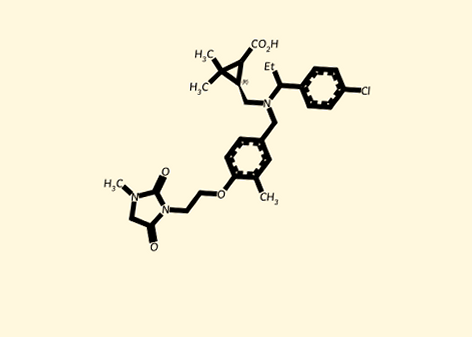 CCC(c1ccc(Cl)cc1)N(Cc1ccc(OCCN2C(=O)CN(C)C2=O)c(C)c1)C[C@@H]1C(C(=O)O)C1(C)C